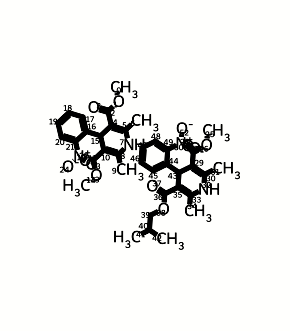 COC(=O)C1=C(C)NC(C)=C(C(=O)OC)C1c1ccccc1[N+](=O)[O-].COC(=O)C1=C(C)NC(C)=C(C(=O)OCC(C)C)C1c1ccccc1[N+](=O)[O-]